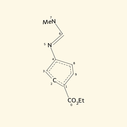 CCOC(=O)c1ccc(N=CNC)cc1